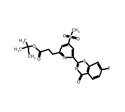 CC(C)(C)OC(=O)CCc1cc(S(C)(=O)=O)cc(-c2nc(=O)c3ccc(F)cc3s2)n1